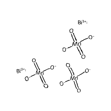 [Bi+3].[Bi+3].[O]=[Mn](=[O])([O-])[O-].[O]=[Mn](=[O])([O-])[O-].[O]=[Mn](=[O])([O-])[O-]